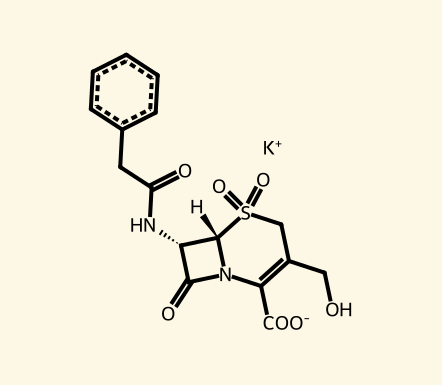 O=C(Cc1ccccc1)N[C@H]1C(=O)N2C(C(=O)[O-])=C(CO)CS(=O)(=O)[C@@H]12.[K+]